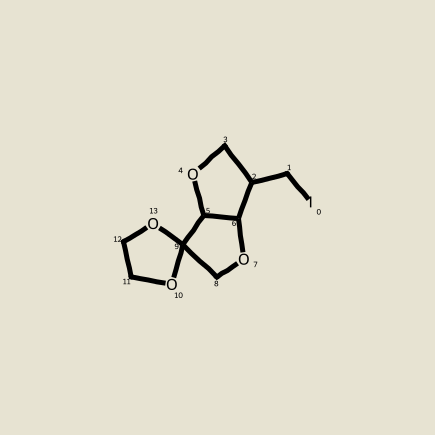 ICC1COC2C1OCC21OCCO1